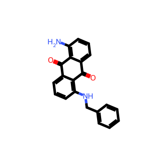 Nc1cccc2c1C(=O)c1cccc(NCc3ccccc3)c1C2=O